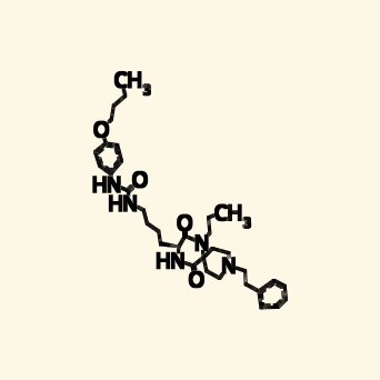 CCCCOc1ccc(NC(=O)NCCCC[C@@H]2NC(=O)C3(CCN(CCc4ccccc4)CC3)N(CCC)C2=O)cc1